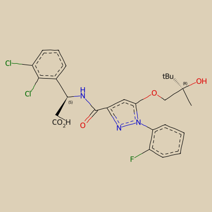 CC(C)(C)[C@@](C)(O)COc1cc(C(=O)N[C@@H](CC(=O)O)c2cccc(Cl)c2Cl)nn1-c1ccccc1F